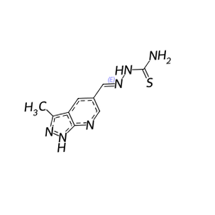 Cc1n[nH]c2ncc(/C=N/NC(N)=S)cc12